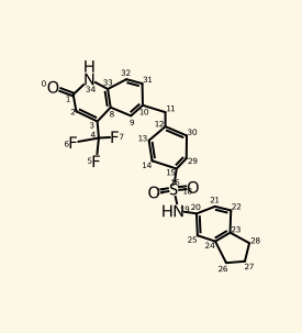 O=c1cc(C(F)(F)F)c2cc(Cc3ccc(S(=O)(=O)Nc4ccc5c(c4)CCC5)cc3)ccc2[nH]1